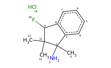 CC1(N)c2ccccc2C(F)C1(C)C.Cl